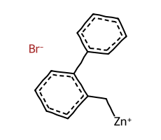 [Br-].[Zn+][CH2]c1ccccc1-c1ccccc1